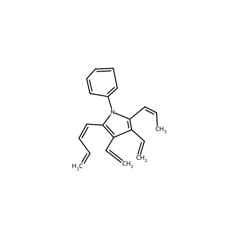 C=C/C=C\c1c(C=C)c(C=C)c(/C=C\C)n1-c1ccccc1